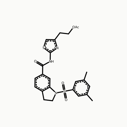 CC(=O)OCCc1csc(NC(=O)c2ccc3c(c2)N(S(=O)(=O)c2cc(C)cc(C)c2)CC3)n1